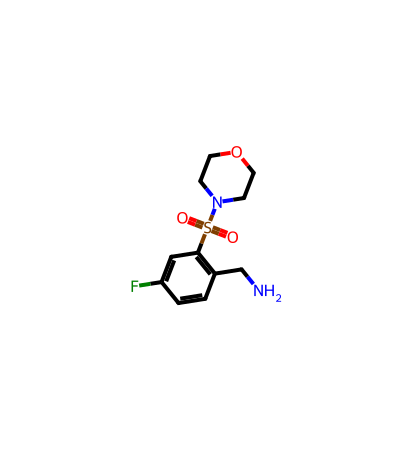 NCc1ccc(F)cc1S(=O)(=O)N1CCOCC1